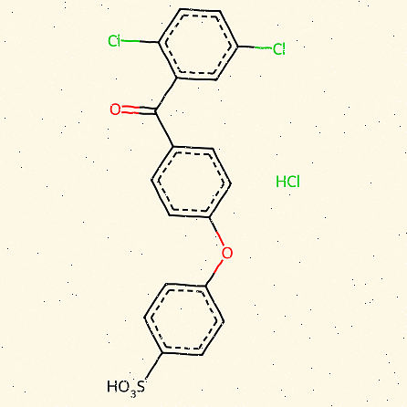 Cl.O=C(c1ccc(Oc2ccc(S(=O)(=O)O)cc2)cc1)c1cc(Cl)ccc1Cl